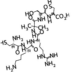 CC(C)(NC(=O)[C@H](CCCNC(=N)N)NC(=O)[C@H](CCCCN)NC(=O)[C@@H](N)CS)C(=O)N[C@@H](CO)C(=O)N[C@@H](CS)C(=O)O